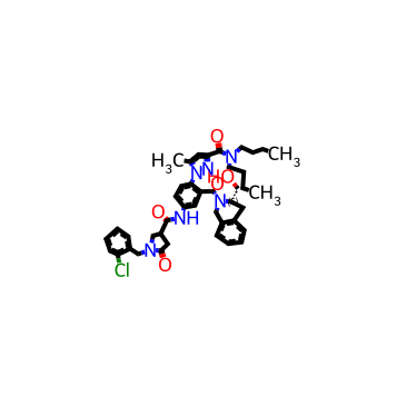 CCCCN(CCCC)C(=O)c1cc(C)n(-c2ccc(NC(=O)C3CC(=O)N(Cc4ccccc4Cl)C3)cc2C(=O)N2Cc3ccccc3C[C@H]2CO)n1